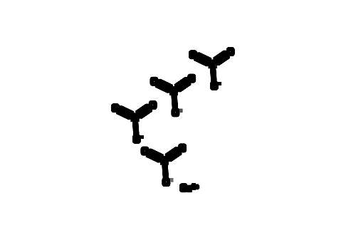 [Ge+4].[O]=[Bi](=[O])[O-].[O]=[Bi](=[O])[O-].[O]=[Bi](=[O])[O-].[O]=[Bi](=[O])[O-]